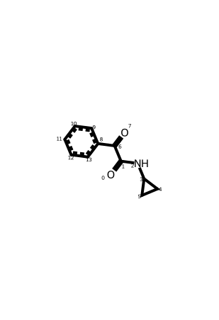 O=C(NC1CC1)C(=O)c1ccccc1